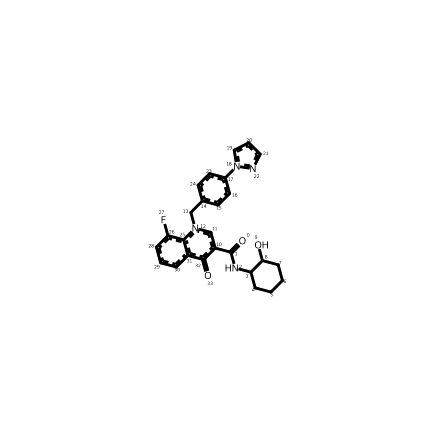 O=C(NC1CCCCC1O)c1cn(Cc2ccc(-n3cccn3)cc2)c2c(F)cccc2c1=O